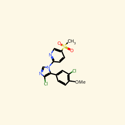 COc1ccc(-c2c(Cl)ncn2-c2ccc(S(C)(=O)=O)cn2)cc1Cl